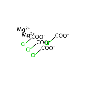 O=C([O-])Cl.O=C([O-])Cl.O=C([O-])Cl.O=C([O-])Cl.[Mg+2].[Mg+2]